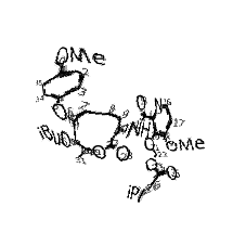 COc1ccc(O[C@H]2CCC[C@H](NC(=O)c3nccc(OC)c3OCOC(=O)C(C)C)C(=O)O[C@@H](C)[C@@H]2OCC(C)C)cc1